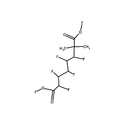 CC(C)(C(=O)OF)C(F)C(F)C(F)C(F)C(F)C(=O)OF